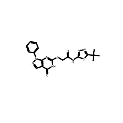 CC(C)(C)c1nnc(NC(=O)CSc2nc3c(cnn3-c3ccccc3)c(=O)[nH]2)s1